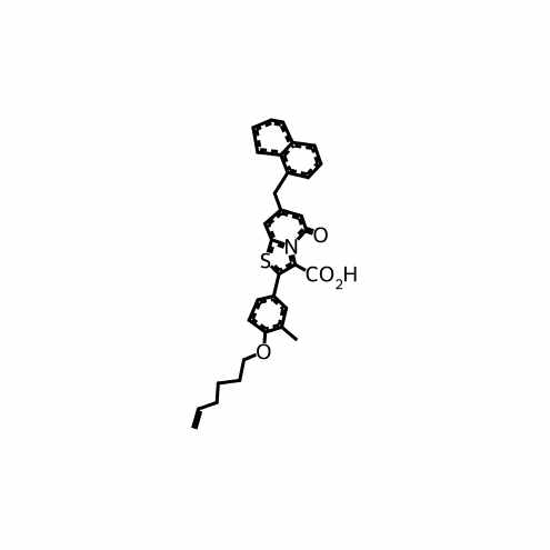 C=CCCCCOc1ccc(-c2sc3cc(Cc4cccc5ccccc45)cc(=O)n3c2C(=O)O)cc1C